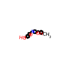 Cc1ccc(CC2(O)CCN(CC3Cc4cc(O)ccc4O3)CC2)cc1